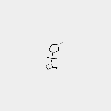 CC(C)N1CCC(C(C)(C)N2CCC2=O)C1